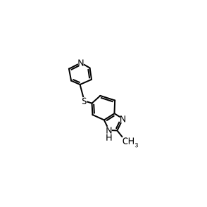 Cc1nc2ccc(Sc3ccncc3)cc2[nH]1